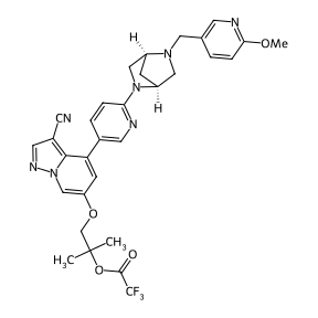 COc1ccc(CN2C[C@@H]3C[C@H]2CN3c2ccc(-c3cc(OCC(C)(C)OC(=O)C(F)(F)F)cn4ncc(C#N)c34)cn2)cn1